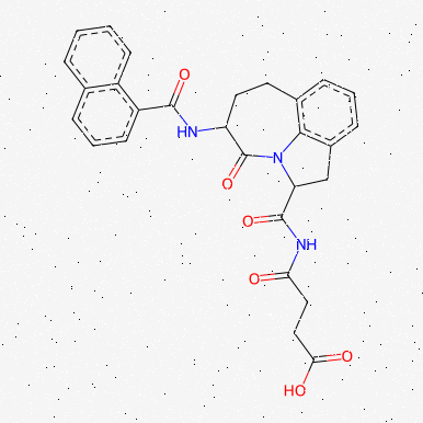 O=C(O)CCC(=O)NC(=O)C1Cc2cccc3c2N1C(=O)C(NC(=O)c1cccc2ccccc12)CC3